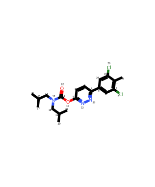 Cc1c(Cl)cc(-c2ccc(OC(=O)N(CC(C)C)CC(C)C)nn2)cc1Cl